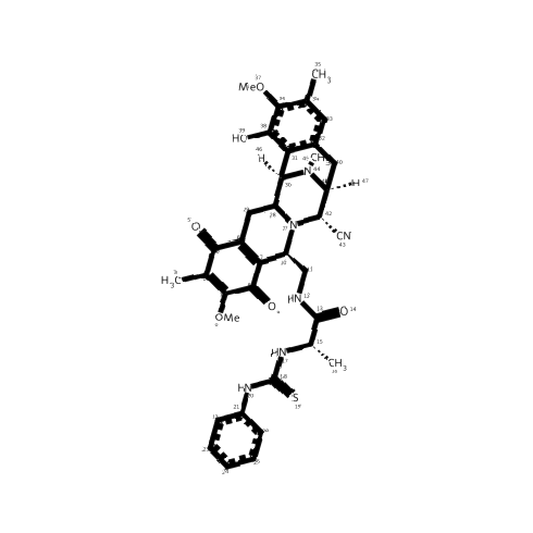 COC1=C(C)C(=O)C2=C(C1=O)[C@H](CNC(=O)[C@H](C)NC(=S)Nc1ccccc1)N1C(C2)[C@H]2c3c(cc(C)c(OC)c3O)C[C@@H]([C@@H]1C#N)N2C